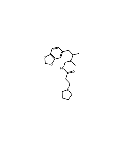 CC(Cc1ccc2c(c1)OCO2)N(C)CNC(=O)CCN1CCCC1